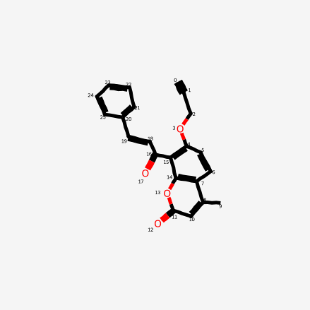 C#CCOc1ccc2c(C)cc(=O)oc2c1C(=O)C=Cc1ccccc1